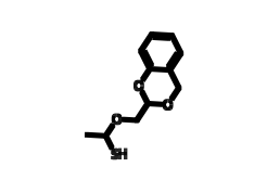 CC(S)OCC1OCc2ccccc2O1